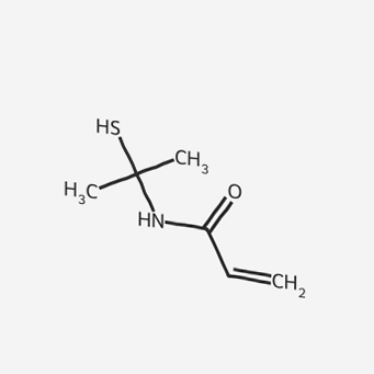 C=CC(=O)NC(C)(C)S